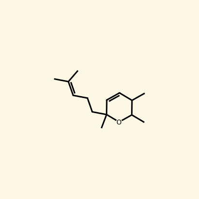 CC(C)=CCCC1(C)C=CC(C)C(C)O1